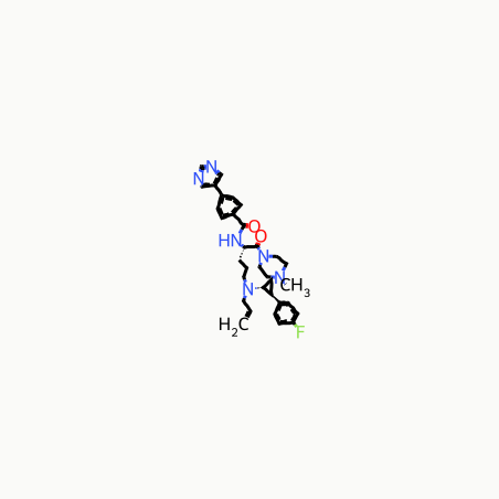 C=CCN(CCC[C@H](NC(=O)c1ccc(-c2cncnc2)cc1)C(=O)N1CCN(C)CC1)[C@@H]1C[C@H]1c1ccc(F)cc1